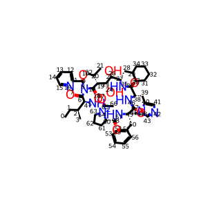 CC[C@H](C)[C@H](N)C(=O)N(C(=O)c1ccccn1)C(=O)[C@H](C(C)C)[C@@H](O)[C@H](O)[C@H](CC1CCCCC1)NC(=O)[C@H](Cc1cncn1C)NC(=O)[C@H](Cc1ccccc1)NC(=O)[C@@H]1CCCN1C(C)=O